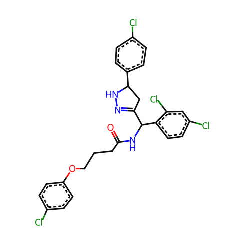 O=C(CCCOc1ccc(Cl)cc1)NC(C1=NNC(c2ccc(Cl)cc2)C1)c1ccc(Cl)cc1Cl